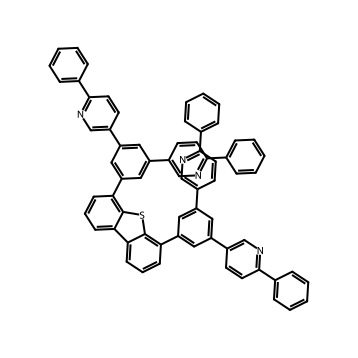 c1ccc(-c2ccc(-c3cc(-c4ccc(-c5ccccc5)nc4)cc(-c4cccc5c4sc4c(-c6cc(-c7ccc(-c8ccccc8)nc7)cc(-c7ccc(-c8ccccc8)nc7)c6)cccc45)c3)cn2)cc1